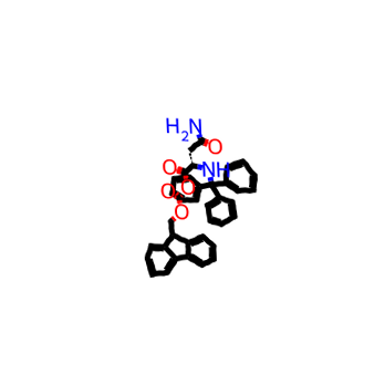 NC(=O)C[C@H](NC(c1ccccc1)(c1ccccc1)c1ccccc1)C(=O)OC(=O)OCC1c2ccccc2-c2ccccc21